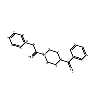 O=C(c1ccccc1)C1CCN(C(=O)Cc2ccccc2)CC1